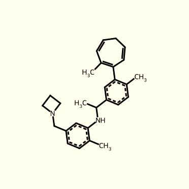 CC1=C(c2cc(C(C)Nc3cc(CN4CCC4)ccc3C)ccc2C)C=CCC=C1